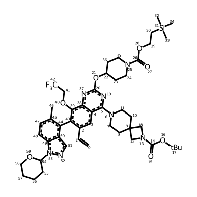 C=Cc1cc2c(N3CCC4(CC3)CN(C(=O)OC(C)(C)C)C4)nc(OC3CCN(C(=O)OCC[Si](C)(C)C)CC3)nc2c(OCC(F)(F)F)c1-c1c(C)ccc2c1cnn2C1CCCCO1